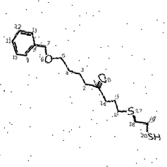 O=C(CCCCOCc1ccccc1)CCCSCCS